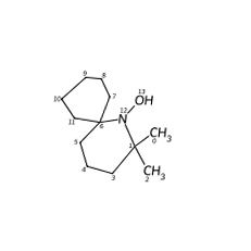 CC1(C)CCCC2(CCCCC2)N1O